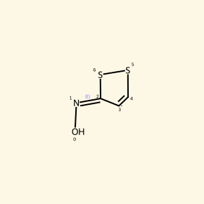 O/N=c1\[c]css1